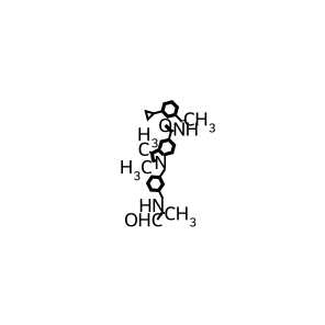 Cc1c(C)n(Cc2cccc(CNC(C)C=O)c2)c2ccc(C(=O)N[C@@H](C)c3cccc(C4CC4)c3)cc12